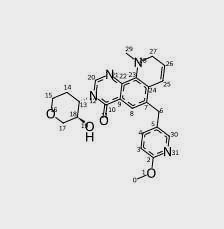 COc1ccc(Cc2cc3c(=O)n([C@H]4CCOC[C@@H]4O)cnc3c3c2C=CCN3C)cn1